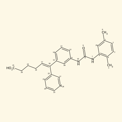 Cc1ccc(C)c(NC(=O)Nc2cccc(C(=CCCCC(=O)O)c3cccnc3)c2)c1